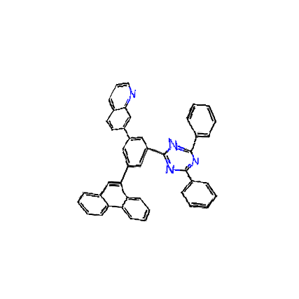 c1ccc(-c2nc(-c3ccccc3)nc(-c3cc(-c4ccc5cccnc5c4)cc(-c4cc5ccccc5c5ccccc45)c3)n2)cc1